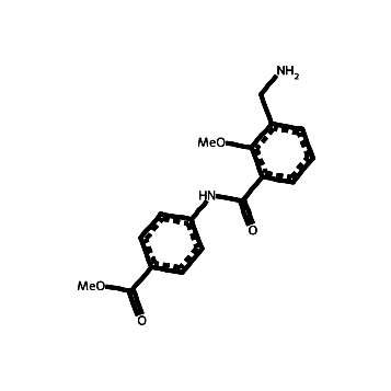 COC(=O)c1ccc(NC(=O)c2cccc(CN)c2OC)cc1